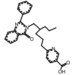 CCCC(CCCc1ccc(C(=O)O)cn1)Cn1c(-c2ccccc2)nc2ccccc2c1=O